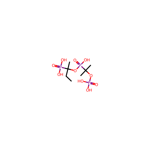 CCC(C)(OP(=O)(O)C(C)(C)OP(=O)(O)O)P(=O)(O)O